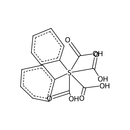 O=C(O)S(C(=O)O)(C(=O)O)(C(=O)O)(c1ccccc1)c1ccccc1